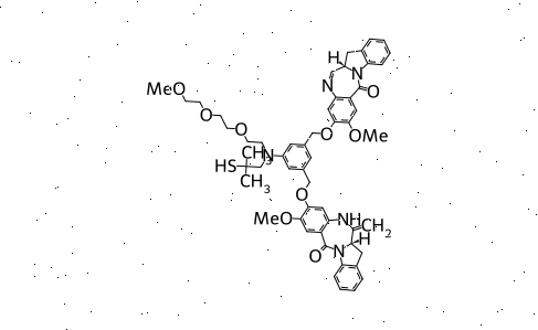 C=C1Nc2cc(OCc3cc(COc4cc5c(cc4OC)C(=O)N4c6ccccc6C[C@H]4C=N5)cc(N(CCOCCOCCOC)CC(C)(C)S)c3)c(OC)cc2C(=O)N2c3ccccc3C[C@@H]12